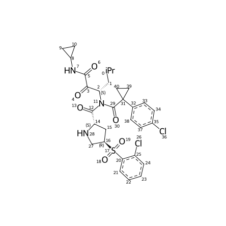 CC(C)C[C@@H](C(=O)C(=O)NC1CC1)N(C(=O)[C@@H]1C[C@@H](S(=O)(=O)c2ccccc2Cl)CN1)C(=O)C1(c2ccc(Cl)cc2)CC1